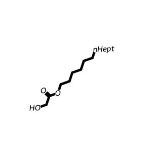 CCCCCCCCCCCCCOC(=O)CO